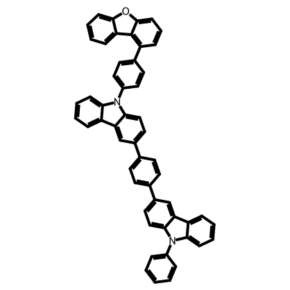 c1ccc(-n2c3ccccc3c3cc(-c4ccc(-c5ccc6c(c5)c5ccccc5n6-c5ccc(-c6cccc7oc8ccccc8c67)cc5)cc4)ccc32)cc1